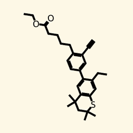 C#Cc1cc(-c2cc3c(cc2CC)SC(C)(C)CC3(C)C)ccc1CCCCC(=O)OCC